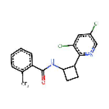 O=C(NC1CCC1c1ncc(Cl)cc1Cl)c1ccccc1C(F)(F)F